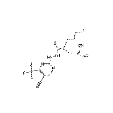 CCCCCC(CN(O)C=O)C(=O)NNc1ncc(C#N)c(C(F)(F)F)n1